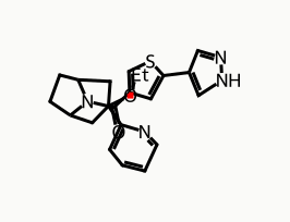 CCOC1(c2ccccn2)CC2CCC(C1)N2C(=O)c1csc(-c2cn[nH]c2)c1